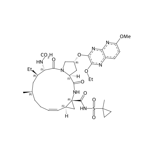 CCOc1nc2ccc(OC)nc2nc1O[C@@H]1C[C@H]2C(=O)N[C@]3(C(=O)NS(=O)(=O)C4(C)CC4)C[C@H]3C=CCC[C@@H](C)C[C@@H](CC)[C@H](NC(=O)O)C(=O)N2C1